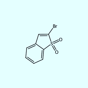 O=S1(=O)C(Br)=Cc2ccccc21